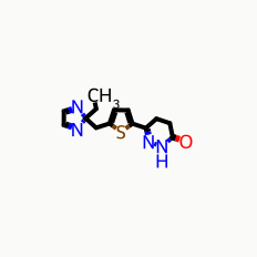 CCC1(Cc2ccc(C3=NNC(=O)CC3)s2)N=CC=N1